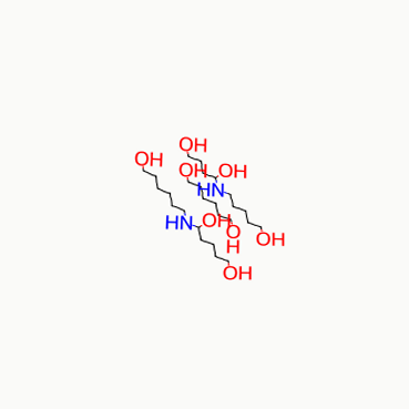 OCCCCCCNC(O)CCCCO.OCCCCCCO.OCCCCCNC(O)CCCO